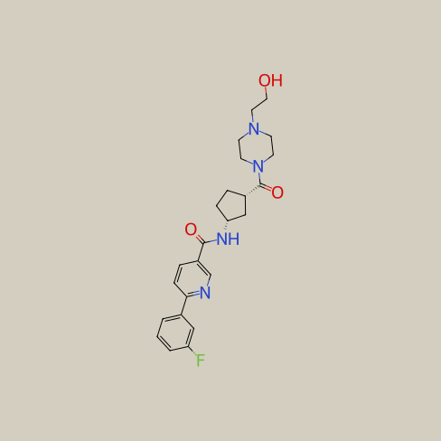 O=C(N[C@@H]1CC[C@H](C(=O)N2CCN(CCO)CC2)C1)c1ccc(-c2cccc(F)c2)nc1